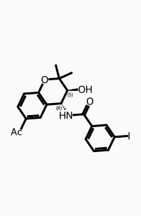 CC(=O)c1ccc2c(c1)[C@@H](NC(=O)c1cccc(I)c1)[C@H](O)C(C)(C)O2